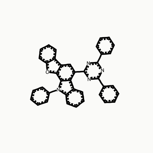 c1ccc(-c2nc(-c3ccccc3)nc(-c3cc4c5ccccc5oc4c4c3c3ccccc3n4-c3ccccc3)n2)cc1